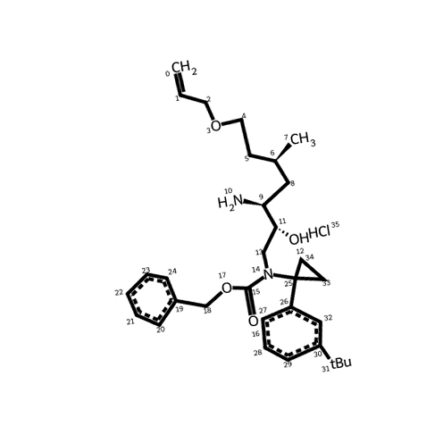 C=CCOCC[C@@H](C)C[C@H](N)[C@H](O)CN(C(=O)OCc1ccccc1)C1(c2cccc(C(C)(C)C)c2)CC1.Cl